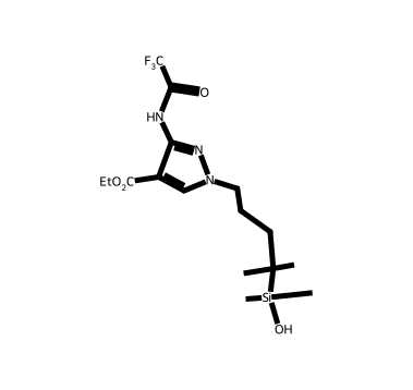 CCOC(=O)c1cn(CCCC(C)(C)[Si](C)(C)O)nc1NC(=O)C(F)(F)F